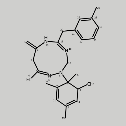 C=C1C/C(CC)=N\N(C2(C)C(C)=CC(C)=CC2Cl)C/N=C(/Cc2cccc(C)c2)N1